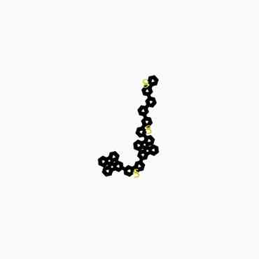 c1cc(-c2cccc(-c3ccc4sc5c(-c6cccc7c6-c6ccccc6C76c7ccccc7-c7cc(-c8ccc9sc%10ccc(-c%11ccc%12c(c%11)-c%11ccccc%11C%12%11c%12ccccc%12-c%12ccccc%12%11)cc%10c9c8)ccc76)cccc5c4c3)c2)cc(-c2ccc3sc4ccccc4c3c2)c1